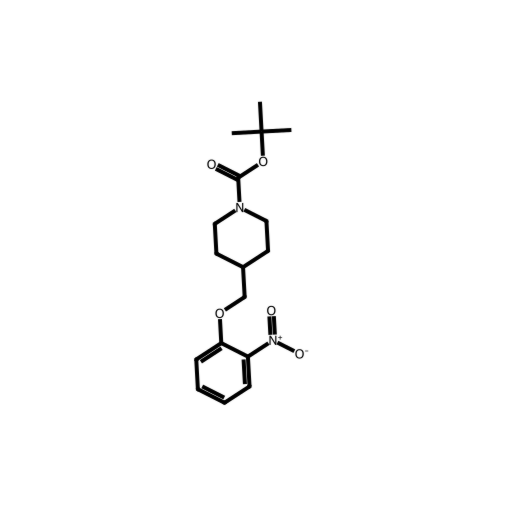 CC(C)(C)OC(=O)N1CCC(COc2ccccc2[N+](=O)[O-])CC1